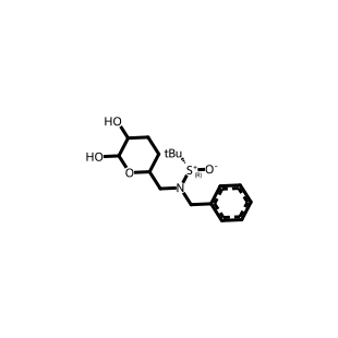 CC(C)(C)[S@+]([O-])N(Cc1ccccc1)CC1CCC(O)C(O)O1